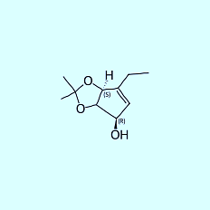 CCC1=C[C@@H](O)C2OC(C)(C)O[C@@H]12